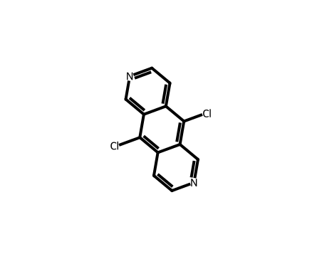 Clc1c2ccncc2c(Cl)c2ccncc12